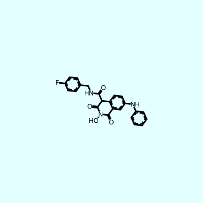 O=C(NCc1ccc(F)cc1)C1C(=O)N(O)C(=O)c2cc(Nc3ccccc3)ccc21